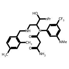 CCCC(O)C(CNCc1ccc(C)cc1C)N(C(=O)CC(N)=O)c1cc(NC)cc(C(F)(F)F)c1